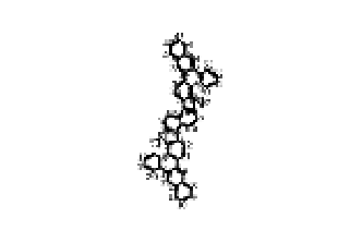 Cn1c2cc(-c3cc4ccccc4cc3-c3ccccc3)ccc2c2c3ccc4c(c3ccc21)c1ccc(-c2cc3ccccc3cc2-c2ccccc2)cc1n4C